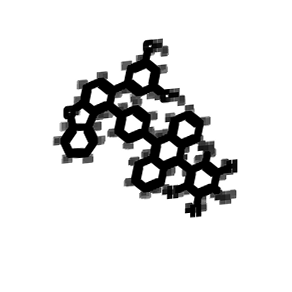 [2H]c1c([2H])c([2H])c(-c2c3ccccc3c(-c3ccc(-c4c(-c5cc(C)cc(C)c5)ccc5oc6ccccc6c45)cc3)c3ccccc23)c([2H])c1[2H]